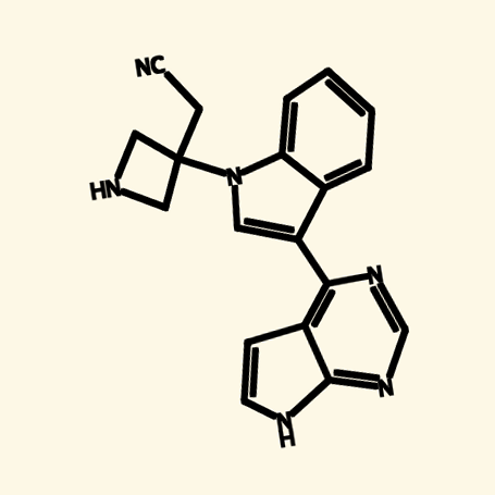 N#CCC1(n2cc(-c3ncnc4[nH]ccc34)c3ccccc32)CNC1